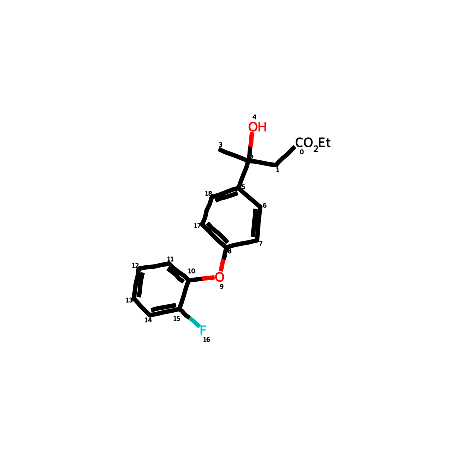 CCOC(=O)CC(C)(O)c1ccc(Oc2ccccc2F)cc1